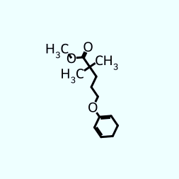 COC(=O)C(C)(C)CCCOC1=CCCC=C1